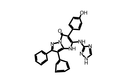 O=c1c(-c2ccc(O)cc2)c(Nc2nc[nH]n2)[nH]c2c(-c3ccccc3)c(-c3ccccc3)nn12